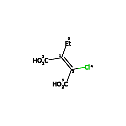 CCC(C(=O)O)=C(Cl)C(=O)O